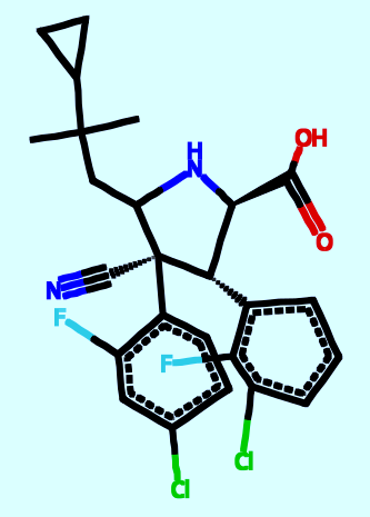 CC(C)(CC1N[C@@H](C(=O)O)[C@H](c2cccc(Cl)c2F)[C@@]1(C#N)c1ccc(Cl)cc1F)C1CC1